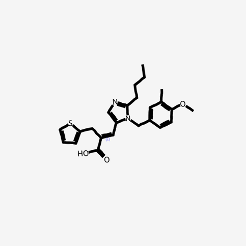 CCCCc1ncc(/C=C(\Cc2cccs2)C(=O)O)n1Cc1ccc(OC)c(C)c1